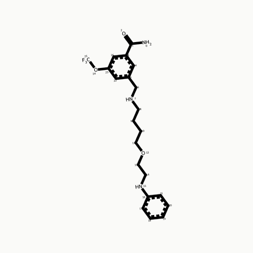 NC(=O)c1cc(CNCCCCOCCNc2ccccc2)cc(OC(F)(F)F)c1